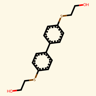 OCCSc1ccc(-c2ccc(SCCO)cc2)cc1